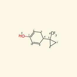 OC1=CCC(C2(C(F)(F)F)CC2)C=C1